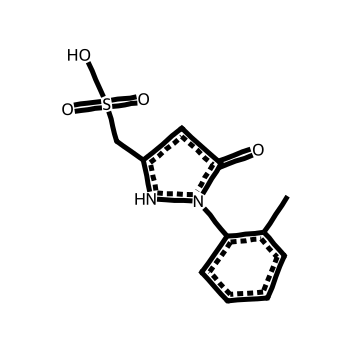 Cc1ccccc1-n1[nH]c(CS(=O)(=O)O)cc1=O